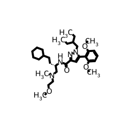 CCC(CC)Cn1nc(C(=O)N[C@@H](CCC2CCCCC2)CN(C)CCOC)cc1-c1c(OC)cccc1OC